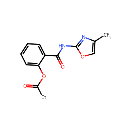 CCC(=O)Oc1ccccc1C(=O)Nc1nc(C(F)(F)F)co1